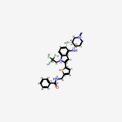 CN1CC[C@H](Nc2cccc3c2cc(-c2ccc(CNC(=O)c4ccccc4)s2)n3CC(F)(F)F)[C@H](F)C1